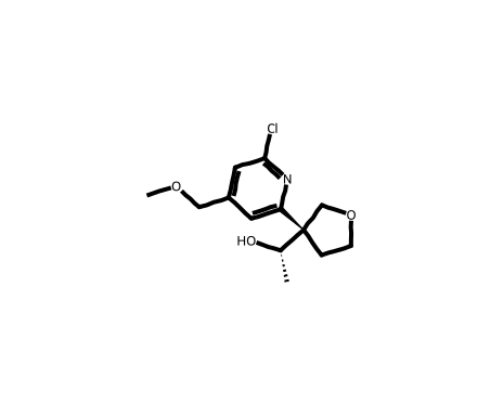 COCc1cc(Cl)nc([C@]2([C@H](C)O)CCOC2)c1